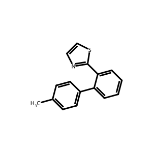 Cc1ccc(-c2ccccc2-c2nccs2)cc1